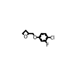 Fc1cc(OCC2CCO2)ccc1Cl